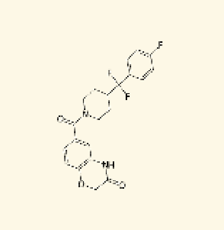 O=C1COc2ccc(C(=O)N3CCC(C(F)(F)c4ccc(F)cc4)CC3)cc2N1